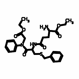 CCOC(=O)CN(C(=O)C(CSCc1ccccc1)NC(=O)CCC(N)C(=O)OCC)c1ccccc1